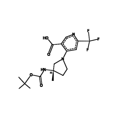 CC(C)(C)OC(=O)N[C@@]1(C)CCN(c2cc(C(F)(F)F)ncc2C(=O)O)C1